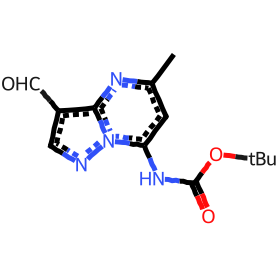 Cc1cc(NC(=O)OC(C)(C)C)n2ncc(C=O)c2n1